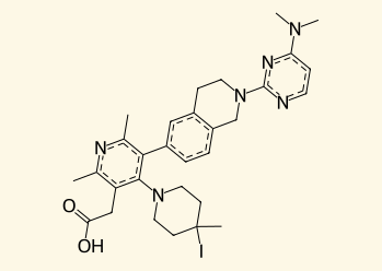 Cc1nc(C)c(-c2ccc3c(c2)CCN(c2nccc(N(C)C)n2)C3)c(N2CCC(C)(I)CC2)c1CC(=O)O